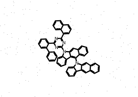 c1ccc(-c2ccccc2-c2nc(-c3cccc4ccccc34)nc(-n3c4ccccc4c4c(-n5c6ccccc6c6cc7ccccc7cc65)c5ccccc5cc43)n2)cc1